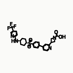 O=C(O)N1CC(c2cc(-c3ccc(S(=O)(=O)[C@H]4CC[C@H](Nc5ccc(C(F)(F)F)cn5)CC4)cc3)ccn2)C1